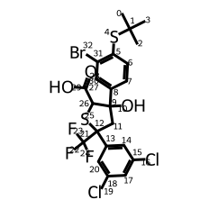 CC(C)(C)Sc1ccc(C2(O)CC(c3cc(Cl)cc(Cl)c3)(C(F)(F)F)SC2C(=O)O)cc1Br